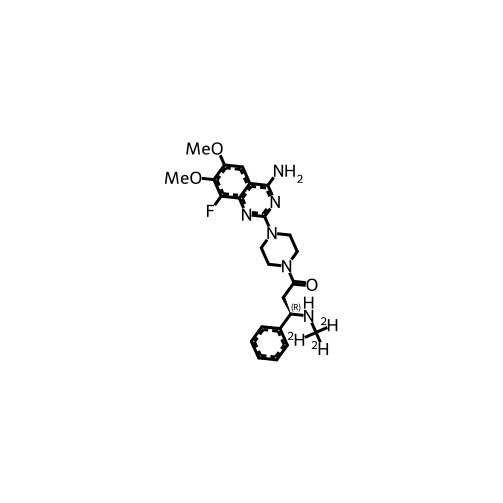 [2H]C([2H])([2H])N[C@H](CC(=O)N1CCN(c2nc(N)c3cc(OC)c(OC)c(F)c3n2)CC1)c1ccccc1